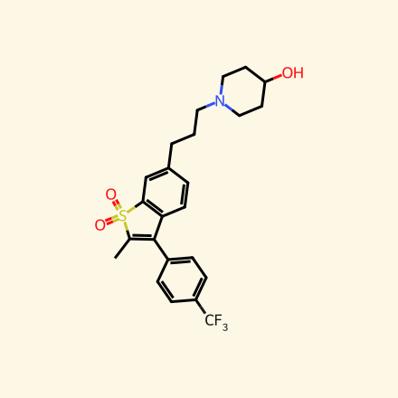 CC1=C(c2ccc(C(F)(F)F)cc2)c2ccc(CCCN3CCC(O)CC3)cc2S1(=O)=O